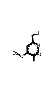 CCOc1cc(CCl)ncc1C.Cl